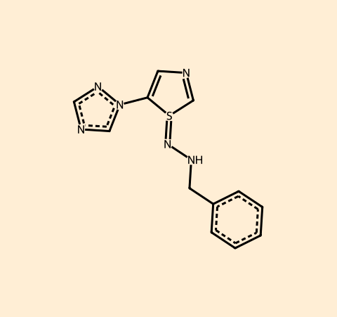 C1=NC=C(n2cncn2)S1=NNCc1ccccc1